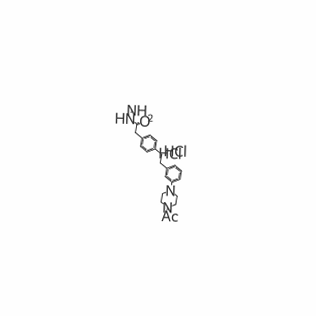 CC(=O)N1CCN(c2cccc(CCc3ccc(CC(=O)NN)cc3)c2)CC1.Cl.Cl